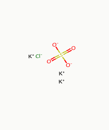 O=S(=O)([O-])[O-].[Cl-].[K+].[K+].[K+]